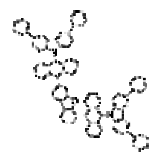 c1ccc(-c2ccc3c(c2)c2cc(-c4ccccc4)ccc2n3-c2c3ccccc3c(-c3ccc4c(c3)oc3c(-c5c6ccccc6c(-n6c7ccc(-c8ccccc8)cc7c7cc(-c8ccccc8)ccc76)c6ccccc56)cccc34)c3ccccc23)cc1